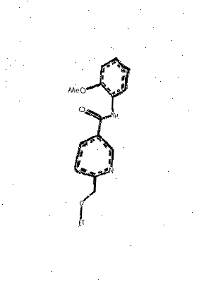 CCOCc1ccc(C(=O)Nc2ccccc2OC)cn1